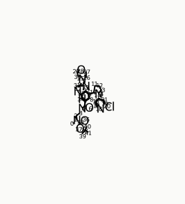 CN(CCNC(=O)c1cc(C2CCCN2c2ccnc(Cl)c2)c2nc(N3CCOCC3)cnc2c1)C(=O)OC(C)(C)C